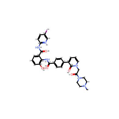 CN1CCN(C(=O)Cn2cccc(-c3ccc(C(=O)Nc4c(O)cccc4C(=O)Nc4ccc(I)cn4)cc3)c2=O)CC1